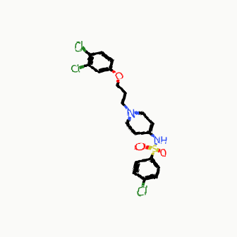 O=S(=O)(NC1CCN(CCCOc2ccc(Cl)c(Cl)c2)CC1)c1ccc(Cl)cc1